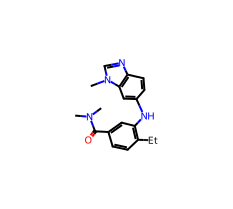 CCc1ccc(C(=O)N(C)C)cc1Nc1ccc2ncn(C)c2c1